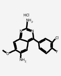 COc1cc2nc(N)nc(-c3ccc(F)c(Cl)c3)c2cc1N.Cl